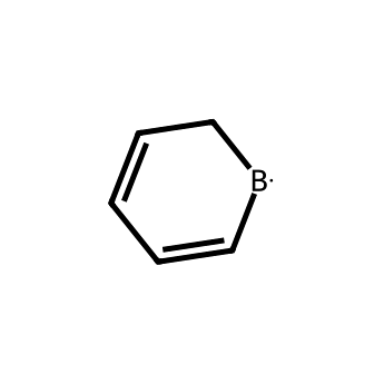 [B]1C=CC=CC1